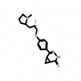 C[C@H](COc1ccc(C2=NNC(=O)C3CC23)cc1)CC1CCCN1C